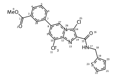 COC(=O)c1cccc(-c2cc(C(F)(F)F)c3nc(C(=O)NCc4cccs4)c(Cl)n3c2)c1